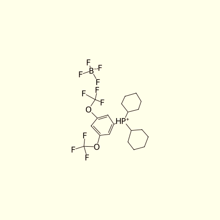 FC(F)(F)Oc1cc(OC(F)(F)F)cc([PH+](C2CCCCC2)C2CCCCC2)c1.F[B-](F)(F)F